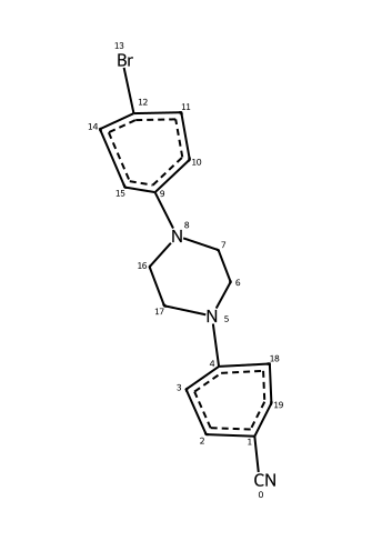 N#Cc1ccc(N2CCN(c3ccc(Br)cc3)CC2)cc1